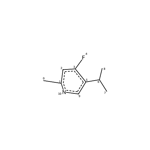 Cc1cc(F)c(C(C)C)cn1